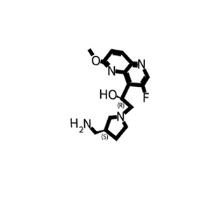 COc1ccc2ncc(F)c([C@@H](O)CN3CC[C@@H](CN)C3)c2n1